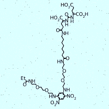 CCC(=O)NCCOCCOCCNc1cc(NCCOCCOCCNC(=O)CCCCCCCNC(=O)CC[C@H](NC(=O)N[C@@H](CCC(=O)O)C(=O)O)C(=O)O)c([N+](=O)[O-])cc1[N+](=O)[O-]